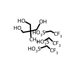 CC(CO)(CO)CO.O=S(=O)(O)CC(F)(F)F.O=S(=O)(O)CC(F)(F)F.O=S(=O)(O)CC(F)(F)F